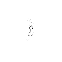 Cc1cc(CN)ccc1-c1cc2n(c1)CCN(S(=O)(=O)C(F)(F)F)C2